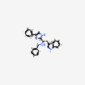 c1ccc(CN[C@@H](Cc2c[nH]c3ccccc23)c2nc(-c3ccccc3)c[nH]2)cc1